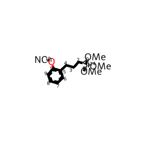 CO[Si](CCCc1ccccc1OC#N)(OC)OC